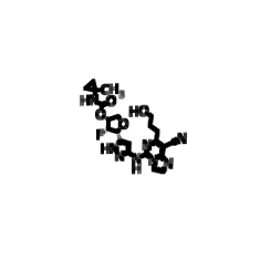 CC1(NC(=O)O[C@@H]2CO[C@H](c3cc(Nc4nc(CCCO)c(C#N)c5nccn45)n[nH]3)[C@@H]2F)CC1